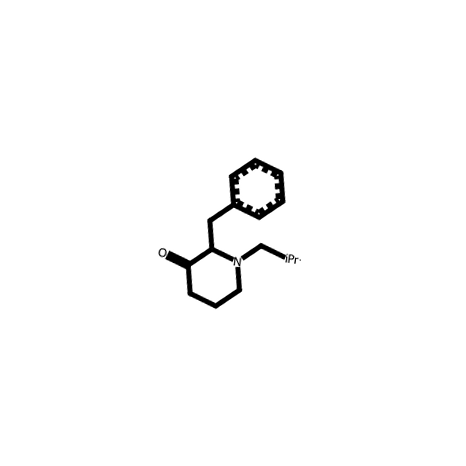 C[C](C)CN1CCCC(=O)C1Cc1ccccc1